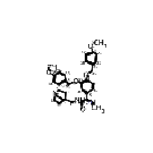 C/N=C(\C(=O)NCC12CCN(CC1)CC2)c1ccc(OCc2ccc(OC)cc2)c(OCc2ccc(OC)cc2)c1